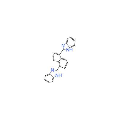 c1ccc2[nH]c(-c3cccc4c(-c5nc6ccccc6[nH]5)cccc34)nc2c1